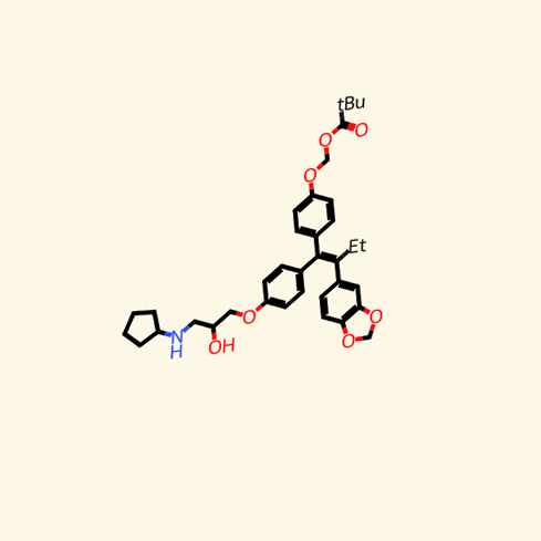 CC/C(=C(\c1ccc(OCOC(=O)C(C)(C)C)cc1)c1ccc(OCC(O)CNC2CCCC2)cc1)c1ccc2c(c1)OCO2